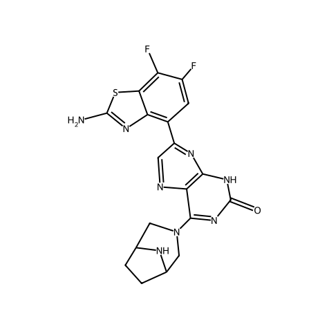 Nc1nc2c(-c3cnc4c(N5CC6CCC(C5)N6)nc(=O)[nH]c4n3)cc(F)c(F)c2s1